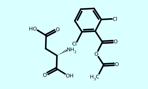 CC(=O)OC(=O)c1c(Cl)cccc1Cl.N[C@@H](CC(=O)O)C(=O)O